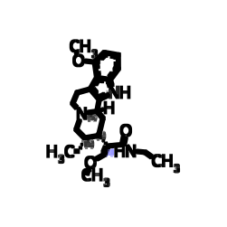 CCNC(=O)/C(=C/OC)[C@H]1C[C@H]2c3[nH]c4cccc(OC)c4c3CCN2C[C@H]1CC